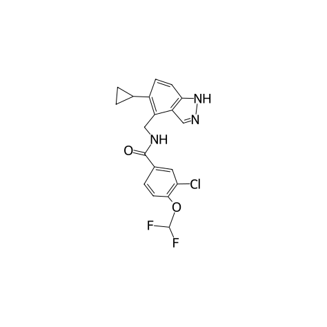 O=C(NCc1c(C2CC2)ccc2[nH]ncc12)c1ccc(OC(F)F)c(Cl)c1